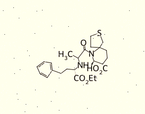 CCOC(=O)[C@H](CCc1ccccc1)NC(C)C(=O)N1[C@H](C(=O)O)CCCC12CCSC2